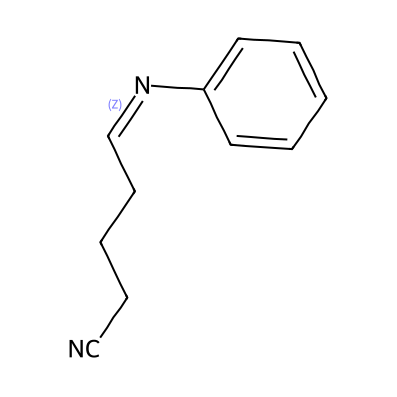 N#CCCC/C=N\c1ccccc1